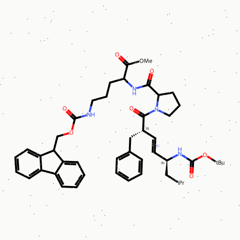 COC(=O)C(CCCNC(=O)OCC1c2ccccc2-c2ccccc21)NC(=O)C1CCCN1C(=O)[C@H](/C=C/[C@H](CC(C)C)NC(=O)OC(C)(C)C)Cc1ccccc1